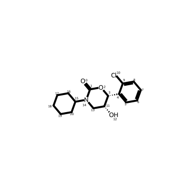 O=C1O[C@H](c2ccccc2Cl)[C@H](O)CN1C1CCCCC1